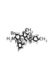 Cc1ccc(S(=O)(=O)n2ccc3c(-c4cc(Br)c(N)c([N+](=O)[O-])c4Oc4ccc(F)cc4F)cn(C)c(=O)c32)cc1